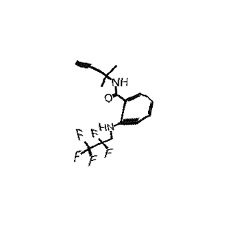 C#CC(C)(C)NC(=O)c1ccccc1NCC(F)(F)C(F)(F)F